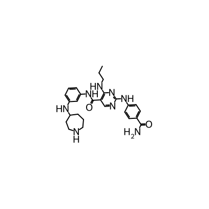 CCCNc1nc(Nc2ccc(C(N)=O)cc2)ncc1C(=O)Nc1cccc(NC2CCCNCC2)c1